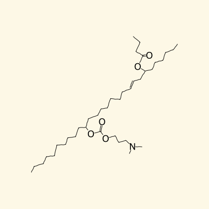 CCCCCCCCCCC(CCCCCCCC=CCC(CCCCCC)OC(=O)CCC)OC(=O)OCCCN(C)C